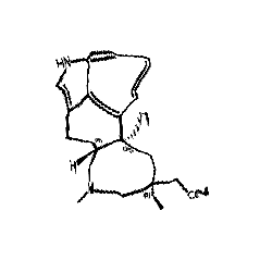 CN1C[C@@](C)(CC#N)C[C@@H]2c3cccc4[nH]cc(c34)C[C@H]21